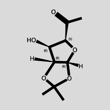 CC(=O)[C@H]1O[C@@H]2OC(C)(C)O[C@@H]2[C@H]1O